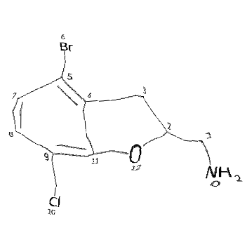 NCC1Cc2c(Br)ccc(Cl)c2O1